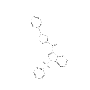 O=C(C1=CSC(c2cccnc2)N1)c1cn(S(=O)(=O)c2ccccc2)c2ccccc12